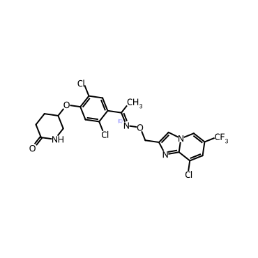 C/C(=N\OCc1cn2cc(C(F)(F)F)cc(Cl)c2n1)c1cc(Cl)c(OC2CCC(=O)NC2)cc1Cl